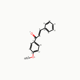 CCCOc1ccc(C(=O)C=Cc2ccccc2)cc1